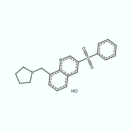 Cl.O=S(=O)(c1ccccc1)c1cnc2c(CN3CCCC3)cccc2c1